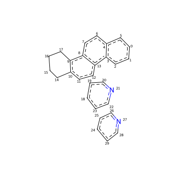 c1ccc2c(c1)ccc1c3c(ccc12)CCCC3.c1ccncc1.c1ccncc1